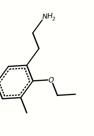 CCOc1c(C)cccc1CCN